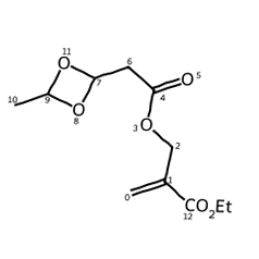 C=C(COC(=O)CC1OC(C)O1)C(=O)OCC